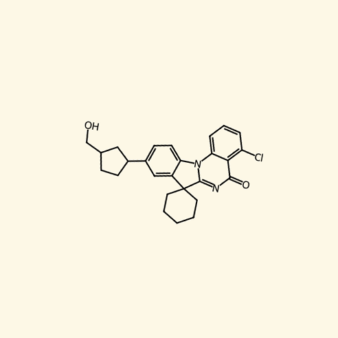 O=c1nc2n(c3cccc(Cl)c13)-c1ccc(C3CCC(CO)C3)cc1C21CCCCC1